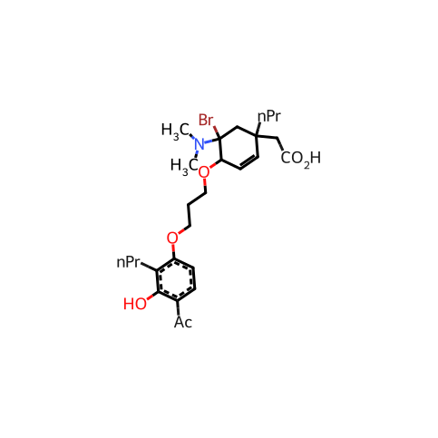 CCCc1c(OCCCOC2C=CC(CCC)(CC(=O)O)CC2(Br)N(C)C)ccc(C(C)=O)c1O